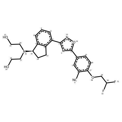 N#Cc1cc(-c2nc(-c3cccc4c3CC[C@H]4N(CCO)CCO)no2)ccc1OCC(F)F